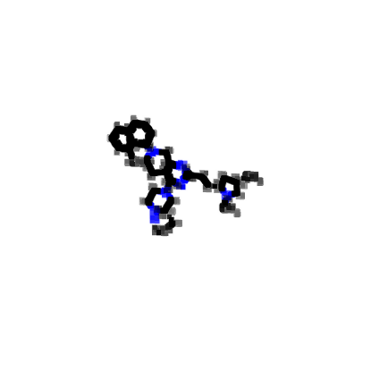 Cc1cccc2cccc(N3CCc4c(nc(CC[C@@H]5C[C@H](C)CN5C)nc4N4CCN[C@@H](CC#N)C4)C3)c12